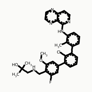 COc1cc(-c2cccc(-c3cccc(Nc4nccc5nccnc45)c3C)c2Cl)cc(F)c1CNCC(C)(C)O